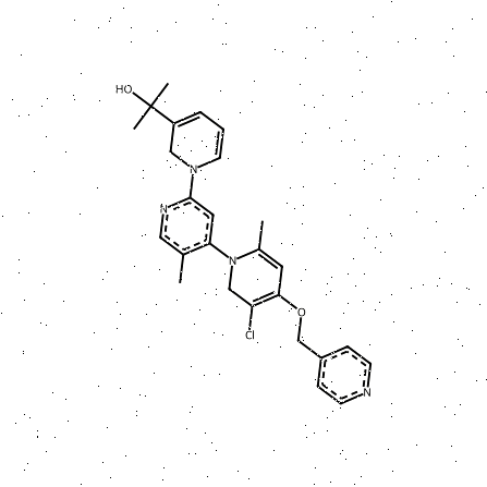 CC1=CC(OCc2ccncc2)=C(Cl)CN1c1cc(N2C=CC=C(C(C)(C)O)C2)ncc1C